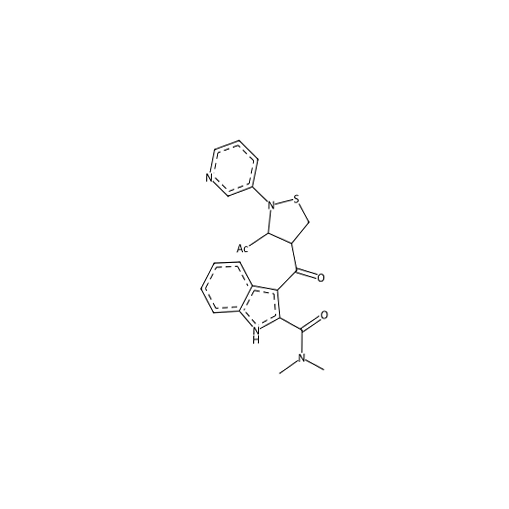 CC(=O)C1C(C(=O)c2c(C(=O)N(C)C)[nH]c3ccccc23)CSN1c1cccnc1